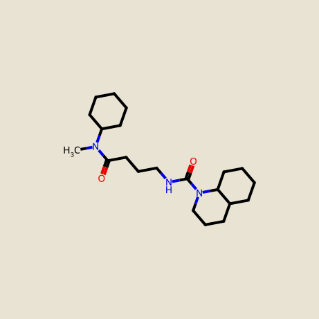 CN(C(=O)CCCNC(=O)N1CCCC2CCCCC21)C1CCCCC1